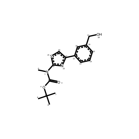 CN(C(=O)OC(C)(C)C)c1nc(-c2cccc(CO)c2)cs1